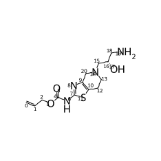 C=CCOC(=O)Nc1nc2c(s1)CCN(C[C@@H](O)CN)C2